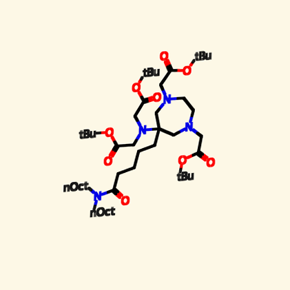 CCCCCCCCN(CCCCCCCC)C(=O)CCCCC1(N(CC(=O)OC(C)(C)C)CC(=O)OC(C)(C)C)CN(CC(=O)OC(C)(C)C)CCN(CC(=O)OC(C)(C)C)C1